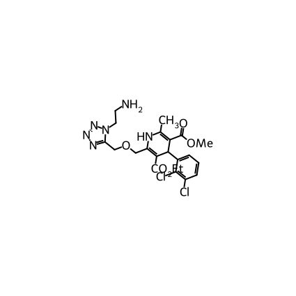 CCOC(=O)C1=C(COCc2nnnn2CCN)NC(C)=C(C(=O)OC)C1c1cccc(Cl)c1Cl